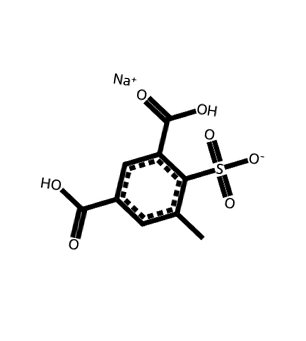 Cc1cc(C(=O)O)cc(C(=O)O)c1S(=O)(=O)[O-].[Na+]